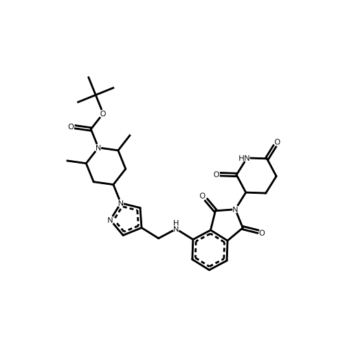 CC1CC(n2cc(CNc3cccc4c3C(=O)N(C3CCC(=O)NC3=O)C4=O)cn2)CC(C)N1C(=O)OC(C)(C)C